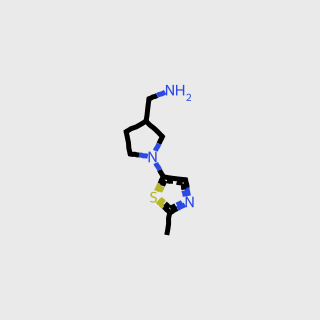 Cc1ncc(N2CCC(CN)C2)s1